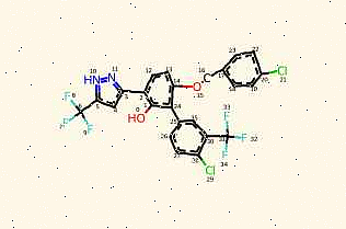 Oc1c(-c2cc(C(F)(F)F)[nH]n2)ccc(OCc2ccc(Cl)cc2)c1-c1ccc(Cl)c(C(F)(F)F)c1